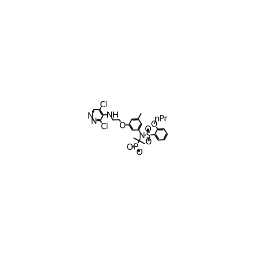 CCCOc1ccccc1S(=O)(=O)N(c1cc(C)cc(OCCNc2c(Cl)cnnc2Cl)c1)C(C)(C)P(=O)=O